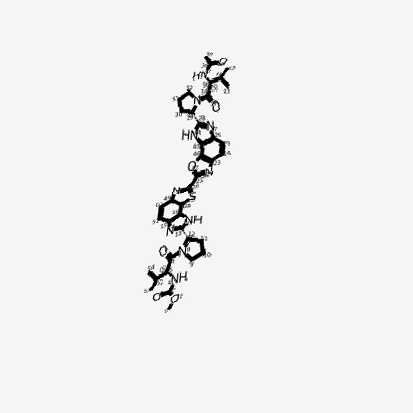 COC(=O)N[C@H](C(=O)N1CCC[C@H]1c1nc2c([nH]1)C1SC(c3nc4ccc5nc([C@@H]6CCCN6C(=O)[C@@H](NC(C)=O)C(C)C)[nH]c5c4o3)=NC1C=C2)C(C)C